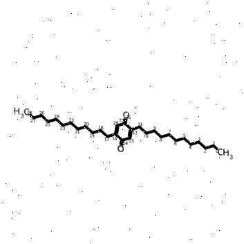 CCCCCCCCCCCCC1=CC(=O)C(CCCCCCCCCCCC)=CC1=O